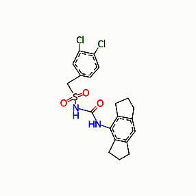 O=C(Nc1c2c(cc3c1CCC3)CCC2)NS(=O)(=O)Cc1ccc(Cl)c(Cl)c1